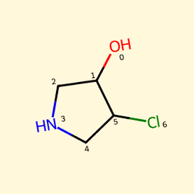 OC1CNCC1Cl